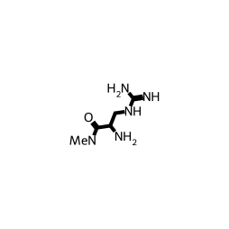 CNC(=O)C(N)CNC(=N)N